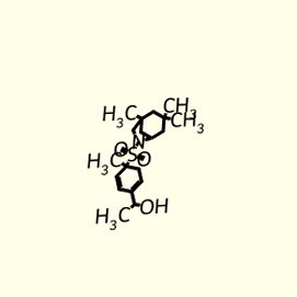 CC(O)C1=CCC(C)(S(=O)(=O)N2CC3(C)CC2CC(C)(C)C3)C=C1